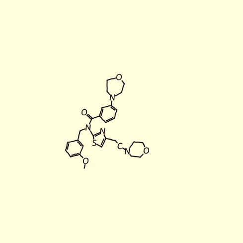 COc1cccc(CN(C(=O)c2cccc(N3CCOCC3)c2)c2nc(CCN3CCOCC3)cs2)c1